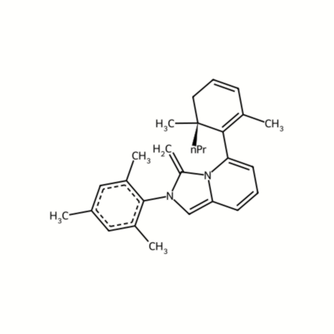 C=C1N2C(=CN1c1c(C)cc(C)cc1C)C=CC=C2C1=C(C)C=CC[C@]1(C)CCC